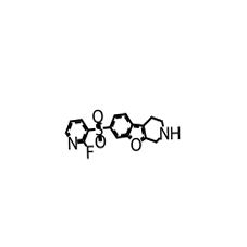 O=S(=O)(c1ccc2c3c(oc2c1)CNCC3)c1cccnc1F